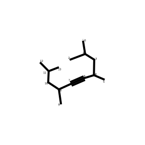 [CH2]C(C)CC(C)C#CC(C)CC(C)C